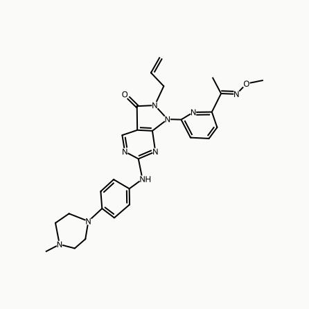 C=CCn1c(=O)c2cnc(Nc3ccc(N4CCN(C)CC4)cc3)nc2n1-c1cccc(/C(C)=N/OC)n1